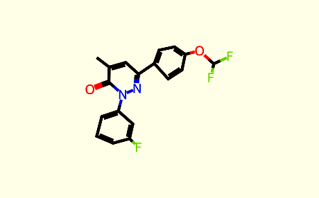 Cc1cc(-c2ccc(OC(F)F)cc2)nn(-c2cccc(F)c2)c1=O